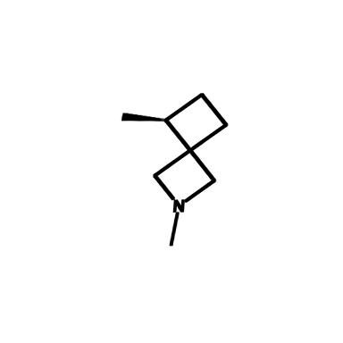 C[C@H]1CCC12CN(C)C2